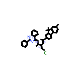 C/C(=C\C(=C/CCl)C(C)/C=C(\N=C(/N)c1ccccc1)c1ccccc1)c1ccc2c(c1)C(C)(C)c1cc(C)ccc1-2